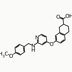 COc1ccc(CNc2cc(Oc3ccc4c(c3)CC(C(=O)O)CC4)ccn2)cc1